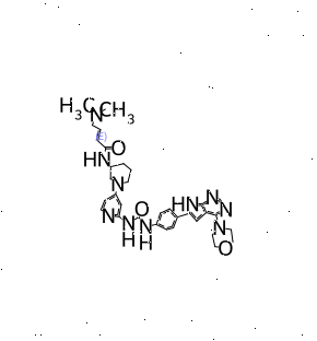 CN(C)C/C=C/C(=O)NC1CCCN(c2ccnc(NC(=O)Nc3ccc(-c4cc5c(N6CCOCC6)ncnc5[nH]4)cc3)c2)C1